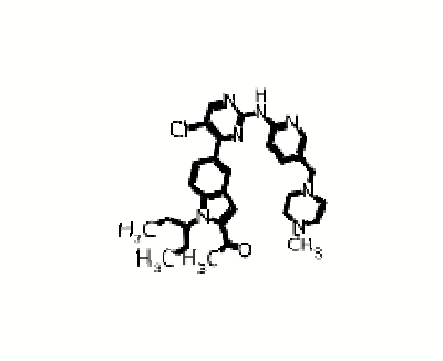 CCC(CC)n1c(C(C)=O)cc2cc(-c3nc(Nc4ccc(CN5CCN(C)CC5)cn4)ncc3Cl)ccc21